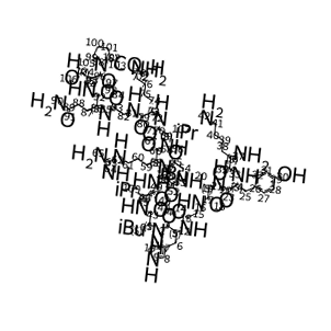 CC[C@H](C)[C@H](NC(=O)[C@H](Cc1c[nH]cn1)NC(=O)CNC(=O)[C@H](C)NC(=O)[C@H](Cc1ccc(O)cc1)NC(=O)[C@@H](N)CCCCN)C(=O)N[C@H](C(=O)N[C@H](C(=O)NCC(=O)N[C@@H](CCCNC(=N)N)C(=O)N[C@H](C(=O)N[C@@H](CCCCN)C(=O)NCC(=O)N[C@@H](CCC(N)=O)C(=O)N[C@H](C(=O)N1CCC[C@H]1C(=O)O)[C@@H](C)O)C(C)C)[C@@H](C)CC)C(C)C